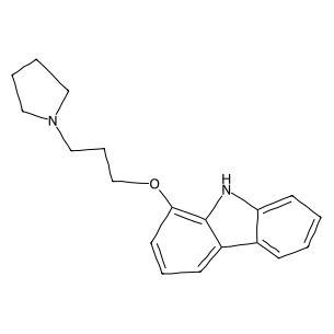 c1ccc2c(c1)[nH]c1c(OCCCN3CCCC3)cccc12